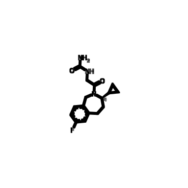 NC(=O)NCC(=O)N1Cc2ccc(F)cc2CC[C@@H]1C1CC1